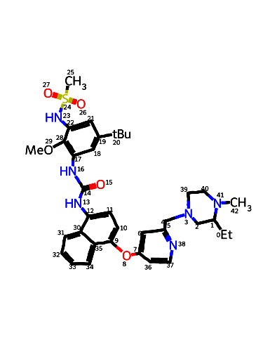 CCC1CN(Cc2cc(Oc3ccc(NC(=O)Nc4cc(C(C)(C)C)cc(NS(C)(=O)=O)c4OC)c4ccccc34)ccn2)CCN1C